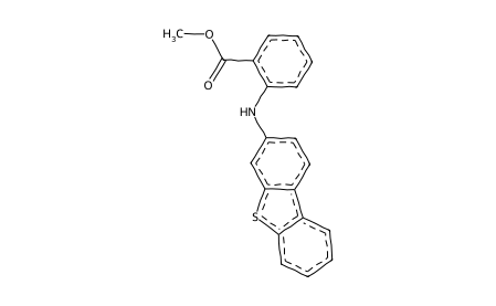 COC(=O)c1ccccc1Nc1ccc2c(c1)sc1ccccc12